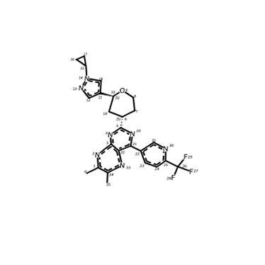 Cc1nc2nc([C@H]3CCO[C@H](c4cnn(C5CC5)c4)C3)nc(-c3ccc(C(F)(F)F)nc3)c2nc1C